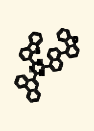 c1ccc2c(c1)cc(-c1nc(-c3cccc4c(-c5cccc6oc7ccccc7c56)cccc34)nc(-c3cccc4c3sc3ccccc34)n1)c1ccccc12